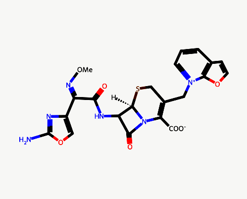 CO/N=C(\C(=O)NC1C(=O)N2C(C(=O)[O-])=C(C[n+]3cccc4ccoc43)CS[C@H]12)c1coc(N)n1